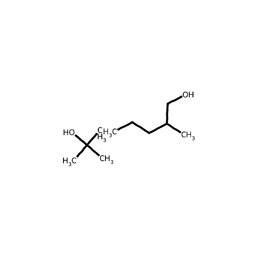 CC(C)(C)O.CCCC(C)CO